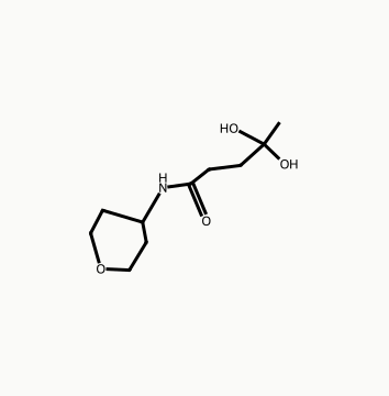 CC(O)(O)CCC(=O)NC1CCOCC1